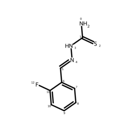 NC(=S)NN=Cc1ccccc1F